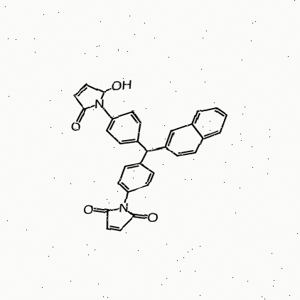 O=C1C=CC(=O)N1c1ccc(C(c2ccc(N3C(=O)C=CC3O)cc2)c2ccc3ccccc3c2)cc1